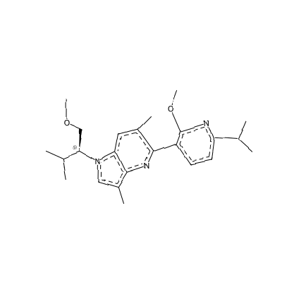 COC[C@H](C(C)C)n1cc(C)c2nc(-c3ccc(C(C)C)nc3OC)c(C)cc21